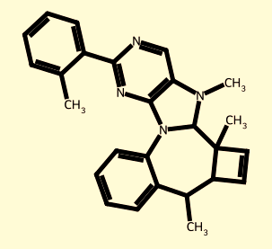 Cc1ccccc1-c1ncc2c(n1)N1c3ccccc3C(C)C3C=CC3(C)C1N2C